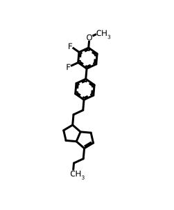 CCCC1=CCC2C(CCc3ccc(-c4ccc(OC)c(F)c4F)cc3)CCC12